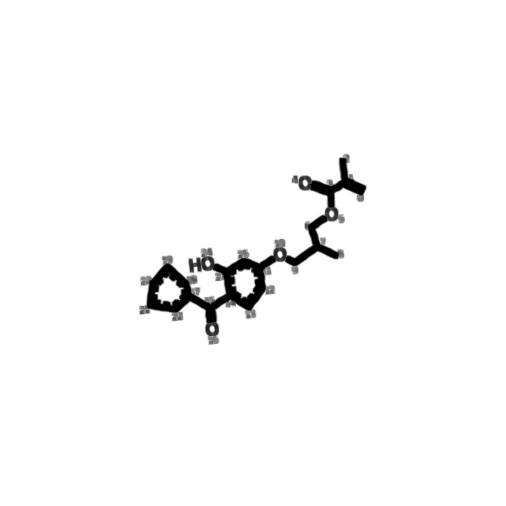 C=C(C)C(=O)OCC(C)COc1ccc(C(=O)c2ccccc2)c(O)c1